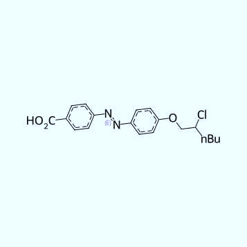 CCCCC(Cl)COc1ccc(/N=N/c2ccc(C(=O)O)cc2)cc1